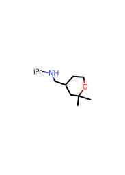 CC(C)NCC1CCOC(C)(C)C1